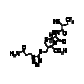 NC(=O)CCn1nnnc1SCC1=C(C(=O)O)N2C(=O)C(NC(=O)C(S)CC(F)(F)F)[C@H]2SC1